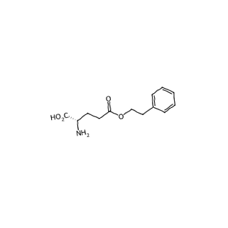 N[C@@H](CCC(=O)OCCc1ccccc1)C(=O)O